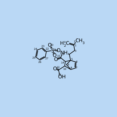 C=C(C)CCC12C=CC(C1)C(C(=O)O)C2C(=O)NOS(=O)(=O)c1ccccc1